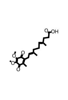 COC1=C(OC)C(=O)C(C/C=C(\C)CC/C=C(\C)CCC(=O)O)=C(C)C1=O